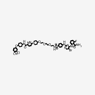 N#Cc1ccc(OC2CCC(NC(=O)c3ccc(N4CCC(OCCOCCOCCNS(=O)(=O)c5ccc(Nc6ncc(Br)c(Nc7cccc(F)c7C(N)=O)n6)cc5)CC4)nn3)CC2)cc1Cl